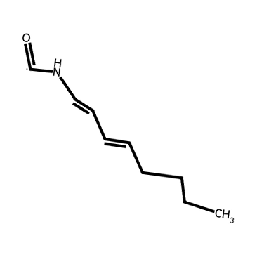 CCCCC=CC=CN[C]=O